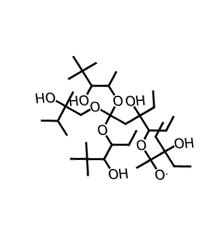 CCC(OC(CC(O)(CC)C(CC)OC(C)([O])C(O)(CC)CC)(OCC(C)(O)C(C)C)OC(C)C(O)C(C)(C)C)C(O)C(C)(C)C